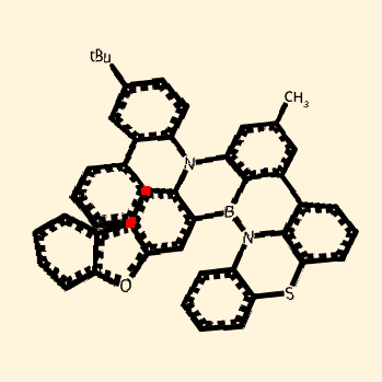 Cc1cc2c3c(c1)N(c1ccc(C(C)(C)C)cc1-c1ccccc1)c1cc4c(cc1B3N1c3ccccc3Sc3cccc-2c31)oc1ccccc14